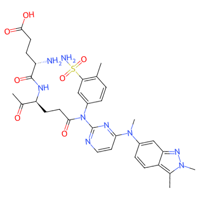 CC(=O)[C@H](CCC(=O)N(c1ccc(C)c(S(N)(=O)=O)c1)c1nccc(N(C)c2ccc3c(C)n(C)nc3c2)n1)NC(=O)[C@@H](N)CCC(=O)O